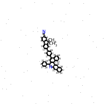 CC1(C)c2cc(C#N)ccc2-c2ccc(-c3ccc(-c4cc5c(-c6ccccc6)nc6cc7ccccc7cc6c5c5ccccc45)cc3)cc21